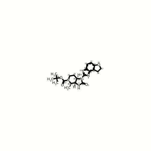 C[C@@H]1[C@@H]2NC(=O)N(c3nc4c5c(ccc4s3)OCC5)[C@@H]2CCN1C(=O)OC(C)(C)C